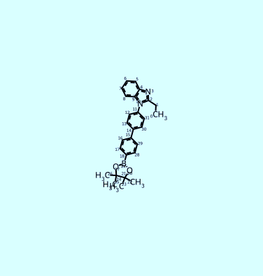 CCc1nc2ccccc2n1-c1ccc(-c2ccc(B3OC(C)(C)C(C)(C)O3)cc2)cc1